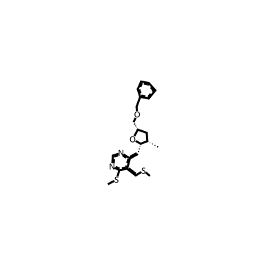 CS/C=c1/c(SC)ncn/c1=C\[C@@H]1O[C@H](COCc2ccccc2)C[C@@H]1C